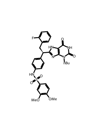 CCCCn1c(=O)[nH]c(=O)c2[nH]c([C@H](Cc3ccccc3F)c3ccc(NS(=O)(=O)c4ccc(OC)c(OC)c4)cc3)nc21